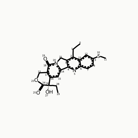 CCc1c2c(nc3ccc(SC)cc13)-c1cc3c(c(=O)n1C2)COC(=O)[C@]3(O)CC